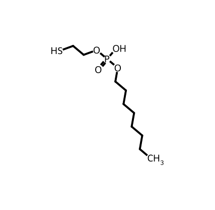 CCCCCCCCOP(=O)(O)OCCS